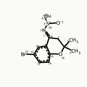 CC1(C)C/C(=N\[S@+]([O-])C(C)(C)C)c2cc(Br)ccc2O1